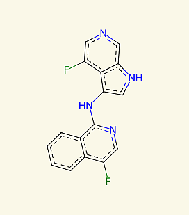 Fc1cnc(Nc2c[nH]c3cncc(F)c23)c2ccccc12